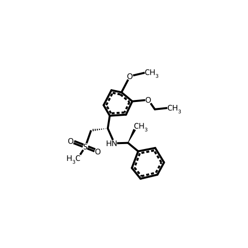 CCOc1cc([C@@H](CS(C)(=O)=O)N[C@@H](C)c2ccccc2)ccc1OC